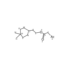 CC(=O)CC(=O)OCCC1CCC(C)(C)CC1